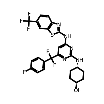 O[C@H]1CC[C@H](Nc2nc(Nc3nc4ccc(C(F)(F)F)cc4s3)cc(C(F)(F)c3ccc(F)cc3)n2)CC1